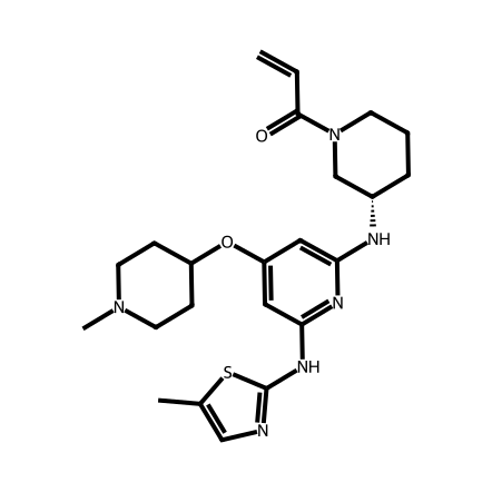 C=CC(=O)N1CCC[C@H](Nc2cc(OC3CCN(C)CC3)cc(Nc3ncc(C)s3)n2)C1